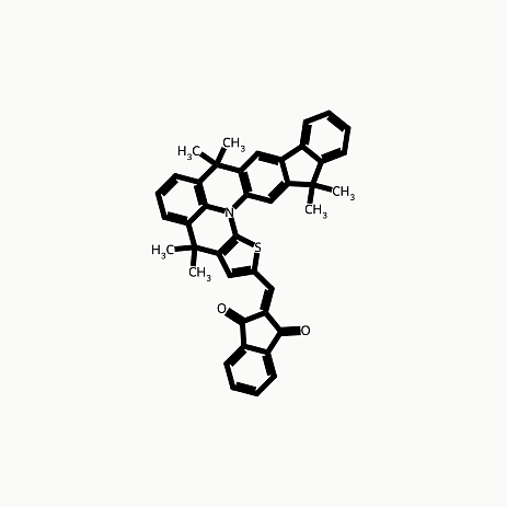 CC1(C)c2ccccc2-c2cc3c(cc21)N1c2sc(C=C4C(=O)c5ccccc5C4=O)cc2C(C)(C)c2cccc(c21)C3(C)C